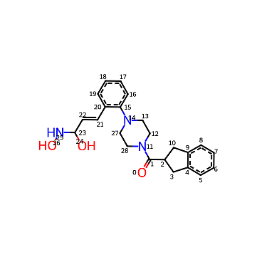 O=C(C1Cc2ccccc2C1)N1CCN(c2ccccc2/C=C/C(O)NO)CC1